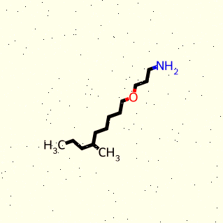 CCCC(C)CCCCCOCCCN